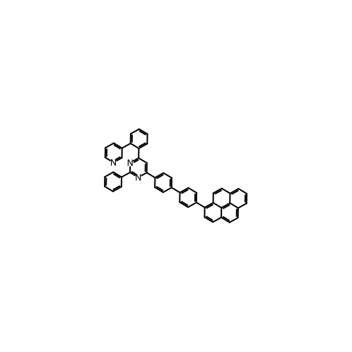 c1ccc(-c2nc(-c3ccc(-c4ccc(-c5ccc6ccc7cccc8ccc5c6c78)cc4)cc3)cc(-c3ccccc3-c3cccnc3)n2)cc1